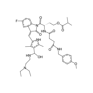 CCN(CC)CCNC(O)c1c(C)[nH]c(/C=C2\C(=O)N(C(=O)[C@H](CCOC(=O)C(C)C)NC(=O)CCC(=O)NCc3ccc(OC)cc3)c3ccc(F)cc32)c1C